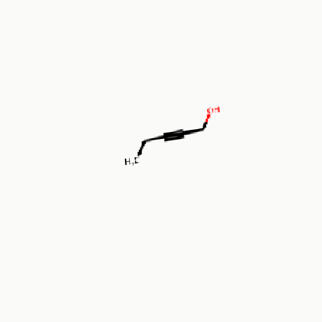 C[CH]C#CCO